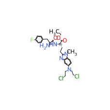 CCOC(=O)[C@H](CCc1nc2cc(N(CCCl)CCCl)ccc2n1C)NC(=O)[C@@H](N)Cc1ccc(F)cc1